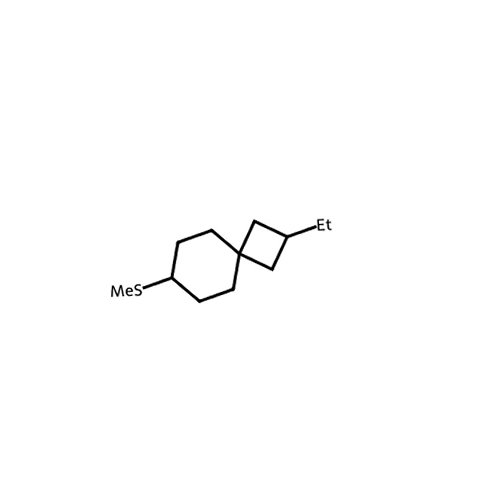 CCC1CC2(CCC(SC)CC2)C1